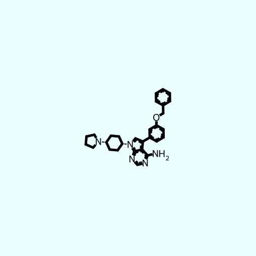 Nc1ncnc2c1c(-c1cccc(OCc3ccccc3)c1)cn2[C@H]1CC[C@@H](N2CCCC2)CC1